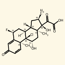 C[C@@H]1C[C@H]2[C@@H]3C[C@H](F)C4=CC(=O)C=C[C@]4(C)[C@@]3(Cl)[C@@H](O)C[C@]2(C)[C@@]1(O)C(=O)C(=O)O